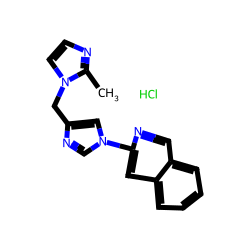 Cc1nccn1Cc1cn(-c2cc3ccccc3cn2)cn1.Cl